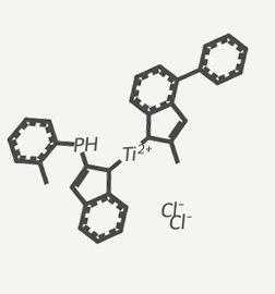 CC1=Cc2c(-c3ccccc3)cccc2[CH]1[Ti+2][CH]1C(Pc2ccccc2C)=Cc2ccccc21.[Cl-].[Cl-]